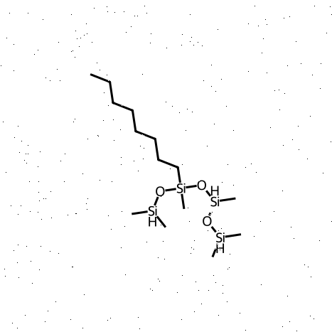 CCCCCCCC[Si](C)(O[SiH](C)C)O[SiH](C)O[SiH](C)C